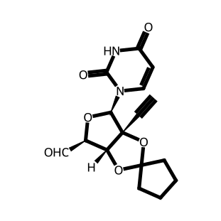 C#C[C@@]12OC3(CCCC3)O[C@@H]1[C@@H](C=O)O[C@H]2n1ccc(=O)[nH]c1=O